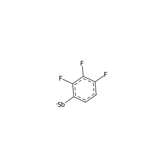 Fc1cc[c]([Sb])c(F)c1F